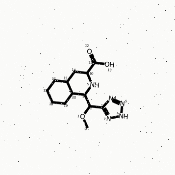 COC(c1nn[nH]n1)C1NC(C(=O)O)CC2CCCCC21